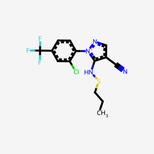 CCCSNc1c(C#N)cnn1-c1ccc(C(F)(F)F)cc1Cl